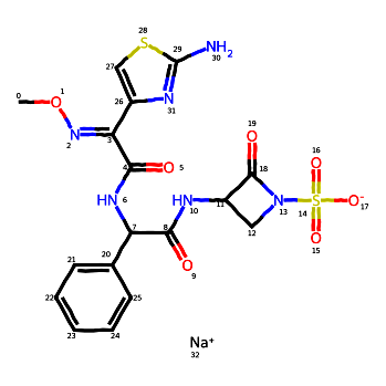 CON=C(C(=O)NC(C(=O)NC1CN(S(=O)(=O)[O-])C1=O)c1ccccc1)c1csc(N)n1.[Na+]